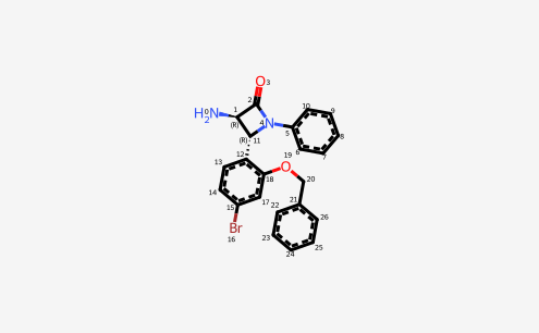 N[C@H]1C(=O)N(c2ccccc2)[C@@H]1c1ccc(Br)cc1OCc1ccccc1